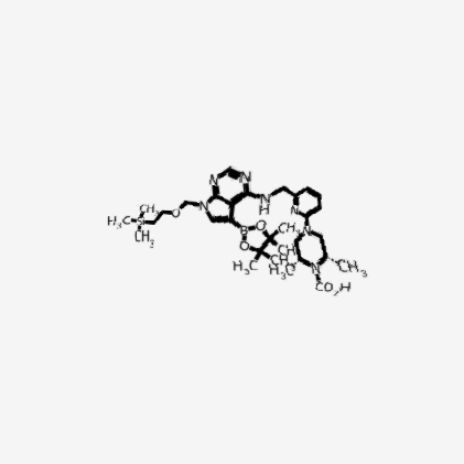 C[C@@H]1CN(c2cccc(CNc3ncnc4c3c(B3OC(C)(C)C(C)(C)O3)cn4COCC[Si](C)(C)C)n2)C[C@H](C)N1C(=O)O